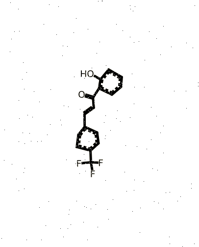 O=C(C=Cc1ccc(C(F)(F)F)cc1)c1ccccc1O